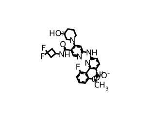 COc1cccc(F)c1-c1nc(Nc2cc(N3CCC[C@H](O)C3)c(C(=O)NC3CC(F)(F)C3)cn2)ccc1[N+](=O)[O-]